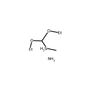 CCOC(OCC)[SiH2]C.N